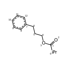 CC(C)C(=O)OCCCc1ccccc1